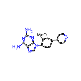 COc1cc(-c2ccncc2)ccc1-n1cnc2c(N)nc(N)nc21